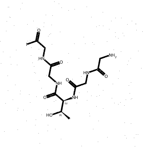 C[C@@H](O)[C@H](NC(=O)CNC(=O)CN)C(=O)NCC(=O)NCC(=O)I